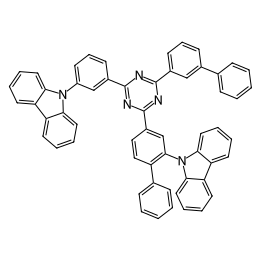 c1ccc(-c2cccc(-c3nc(-c4cccc(-n5c6ccccc6c6ccccc65)c4)nc(-c4ccc(-c5ccccc5)c(-n5c6ccccc6c6ccccc65)c4)n3)c2)cc1